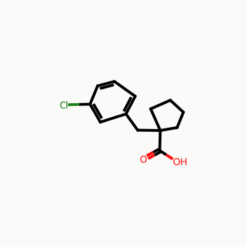 O=C(O)C1(Cc2cccc(Cl)c2)CCCC1